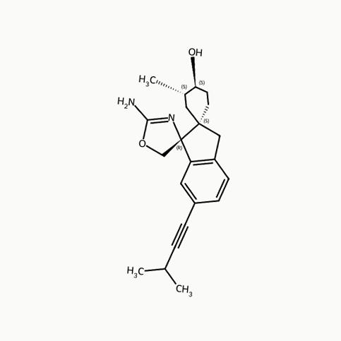 CC(C)C#Cc1ccc2c(c1)[C@@]1(COC(N)=N1)[C@]1(CC[C@H](O)[C@@H](C)C1)C2